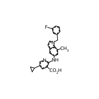 Cc1cc(Nc2ncc(C3CC3)cc2C(=O)O)cc2ccn(Cc3cccc(F)c3)c12